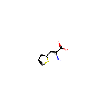 N[C@@H](CC1CC=CS1)C(=O)O